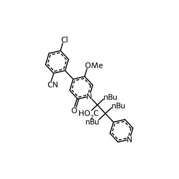 CCCCC(CCCC)(c1ccncc1)C(CCCC)(C(=O)O)n1cc(OC)c(-c2cc(Cl)ccc2C#N)cc1=O